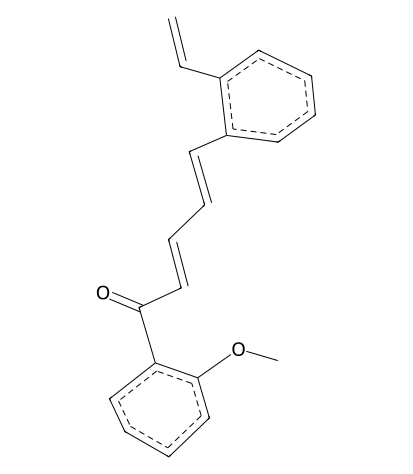 C=Cc1ccccc1/C=C/C=C/C(=O)c1ccccc1OC